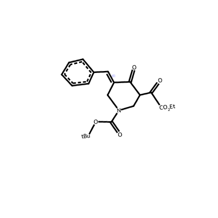 CCOC(=O)C(=O)C1CN(C(=O)OC(C)(C)C)C/C(=C\c2ccccc2)C1=O